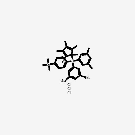 CC1=C(C)C(C)([Si](c2ccc([Si](C)(C)C)cc2)(c2cc(C)cc(C)c2)c2cc(C(C)(C)C)cc(C(C)(C)C)c2)[C]([Ti+3])=C1C.[Cl-].[Cl-].[Cl-]